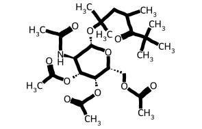 CC(=O)N[C@H]1[C@H](OC(C)(C)CC(C)C(=O)C(C)(C)C)O[C@H](COC(C)=O)[C@H](OC(C)=O)[C@@H]1OC(C)=O